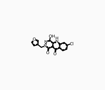 O=c1c2ccc(Cl)cc2[nH]c2c(O)nn(Cc3ccoc3)c(=O)c12